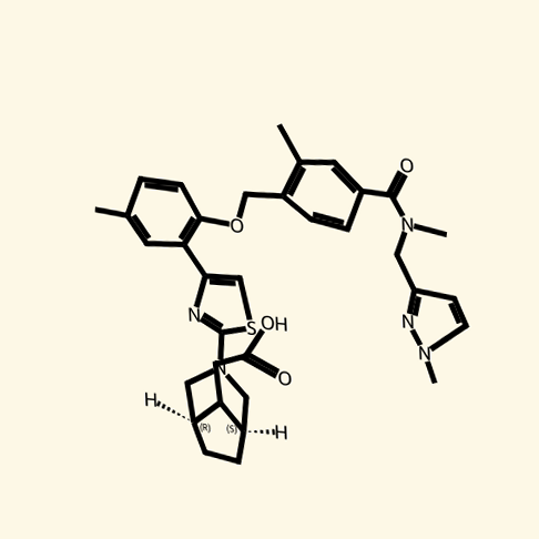 Cc1ccc(OCc2ccc(C(=O)N(C)Cc3ccn(C)n3)cc2C)c(-c2csc(N3C[C@H]4CC[C@@H](C3)C4CC(=O)O)n2)c1